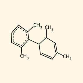 C[C]1C=C(C)C=CC1c1c(C)cccc1C